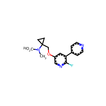 CN(C(=O)O)C1(COc2cnc(F)c(-c3ccncc3)c2)CC1